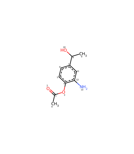 CC(=O)Oc1ccc(C(C)O)cc1N